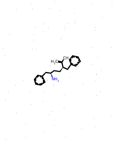 C=C(C)[C@H](CC[C@@H](N)Cc1ccccc1)Cc1ccccc1